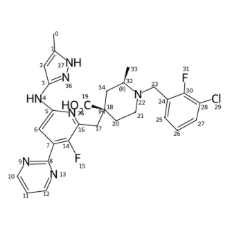 Cc1cc(Nc2cc(-c3ncccn3)c(F)c(C[C@@]3(C(=O)O)CCN(Cc4cccc(Cl)c4F)[C@H](C)C3)n2)n[nH]1